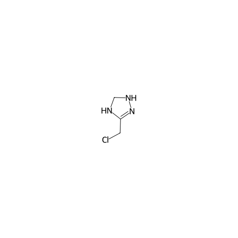 ClCC1=NNCN1